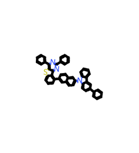 c1ccc(-c2ccc3c(c2)c2ccccc2n3-c2ccc3cc(-c4cccc5sc6c(-c7ccccc7)nc(-c7ccccc7)nc6c45)ccc3c2)cc1